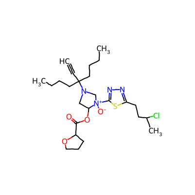 C#CC(CCCC)(CCCC)N1CC(OC(=O)C2CCCO2)[N+]([O-])(c2nnc(CCC(C)Cl)s2)C1